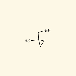 CC1([CH2][SnH])CO1